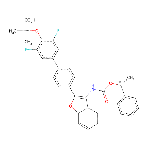 C[C@@H](OC(=O)NC1=C(c2ccc(-c3cc(F)c(OC(C)(C)C(=O)O)c(F)c3)cc2)OC2C=CC=CC12)c1ccccc1